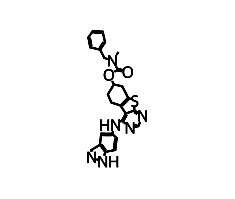 CN(Cc1ccccc1)C(=O)OC1CCc2c(sc3ncnc(Nc4ccc5[nH]ncc5c4)c23)C1